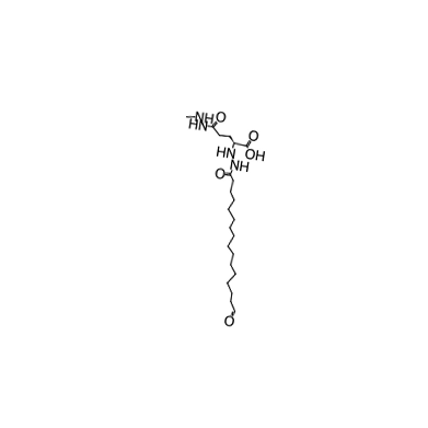 CNNC(=O)CC[C@H](NNC(=O)CCCCCCCCCCCCCCC=O)C(=O)O